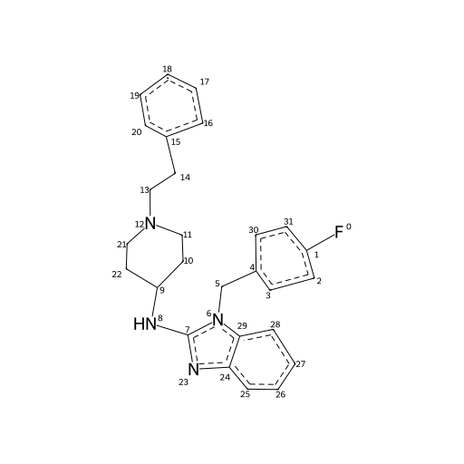 Fc1ccc(Cn2c(NC3CCN(CCc4cc[c]cc4)CC3)nc3ccccc32)cc1